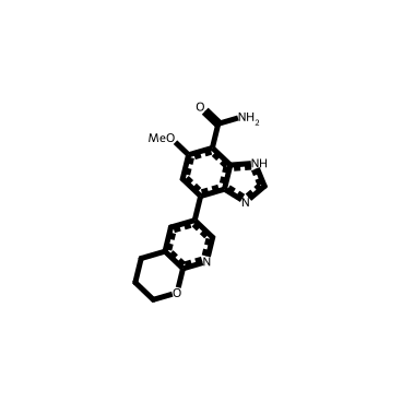 COc1cc(-c2cnc3c(c2)CCCO3)c2nc[nH]c2c1C(N)=O